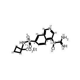 CCOC(=O)C1(NS(=O)(=O)c2ccc3c(N(Cl)C(=N)N)cncc3c2)CCC1